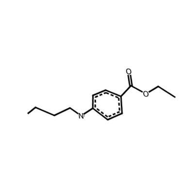 CCCC[N]c1ccc(C(=O)OCC)cc1